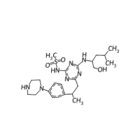 CC(C)CC(CO)Nc1nc(CC(C)c2ccc(N3CCNCC3)cc2)nc(NS(C)(=O)=O)n1